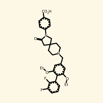 CCOc1cc(CN2CCC3(CC2)CC(=O)N(c2ccc(C(=O)O)cc2)C3)cc(OCC)c1-c1cccc(F)c1F